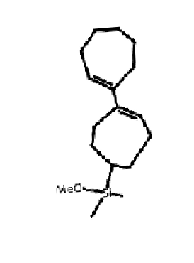 CO[Si](C)(C)C1CCC=C(C2=CCCCCC2)CC1